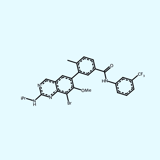 COc1c(-c2cc(C(=O)Nc3cccc(C(F)(F)F)c3)ccc2C)cc2cnc(NC(C)C)nc2c1Br